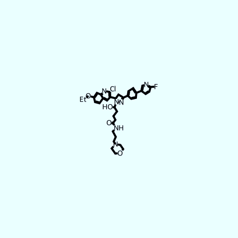 CCOc1ccc2cc(C3CC(c4ccc(-c5ccc(F)nc5)cc4)=NN3C(O)CCCC(=O)NCCCN3CCOCC3)c(Cl)nc2c1